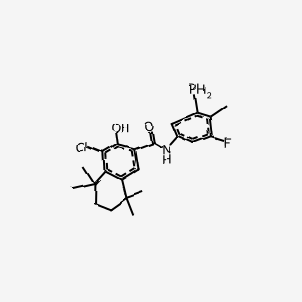 Cc1c(F)cc(NC(=O)c2cc3c(c(Cl)c2O)C(C)(C)CCC3(C)C)cc1P